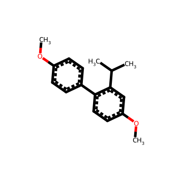 COc1ccc(-c2ccc(OC)cc2C(C)C)cc1